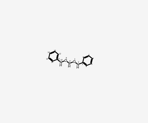 B(ONc1ccccc1)ONc1ccccc1